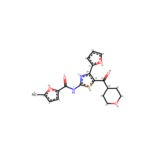 N#Cc1ccc(C(=O)Nc2nc(-c3ccco3)c(C(=O)C3CCOCC3)s2)o1